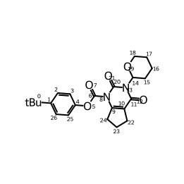 CC(C)(C)c1ccc(OC(=O)n2c3c(c(=O)n(C4CCCCO4)c2=O)CCC3)cc1